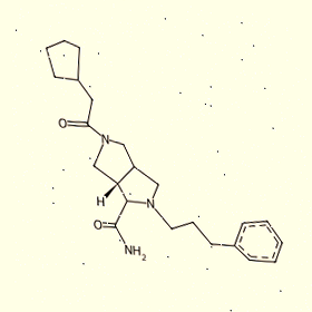 NC(=O)C1[C@@H]2CN(C(=O)CC3CCCC3)CC2CN1CC[CH]c1ccccc1